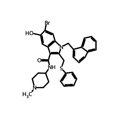 CN1CCC(NC(=O)c2c(CSc3ccccc3)n(Cc3cccc4ccccc34)c3cc(Br)c(O)cc23)CC1